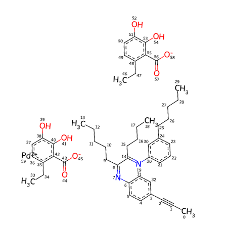 CC#Cc1ccc(N=C(CCCCC)C(CCCC)=Nc2cccc(CCCCC)c2)cc1.CCc1ccc(O)c(O)c1C(=O)[O-].CCc1ccc(O)c(O)c1C(=O)[O-].[Pd+2]